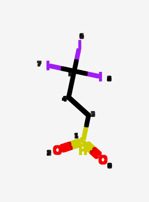 O=[SH](=O)CCC(I)(I)I